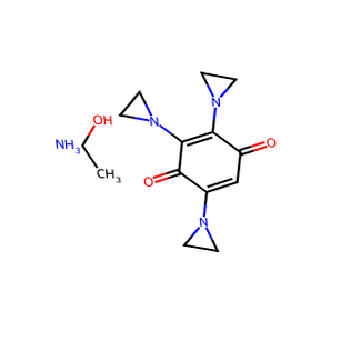 CCO.N.O=C1C=C(N2CC2)C(=O)C(N2CC2)=C1N1CC1